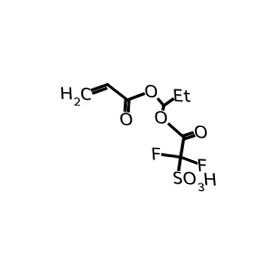 C=CC(=O)OC(CC)OC(=O)C(F)(F)S(=O)(=O)O